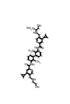 Cc1c(NC(=O)c2cc(C3CC3)c(CNCCO)cn2)cccc1-c1cccc(NC(=O)c2cc(C3CC3)c(CN[C@H](CO)C(=O)O)cn2)c1C